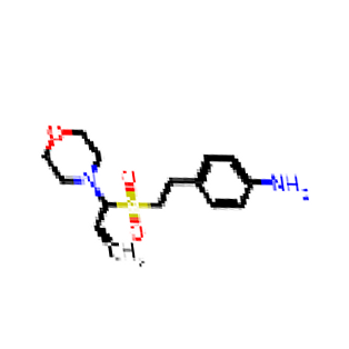 C=CC(N1CCOCC1)S(=O)(=O)CCc1ccc(N)cc1